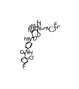 O=C(Nc1ccc(NC(=O)c2nc[nH]c2C(=O)NCCN2CCCC(F)(F)C2)cc1)c1ccc(F)cc1Cl